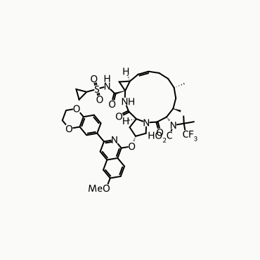 COc1ccc2c(O[C@@H]3C[C@H]4C(=O)N[C@]5(C(=O)NS(=O)(=O)C6CC6)C[C@H]5/C=C\CC[C@H](C)C[C@@H](C)[C@H](N(C(=O)O)C(C)(C)C(F)(F)F)C(=O)N4C3)nc(-c3ccc4c(c3)OCCO4)cc2c1